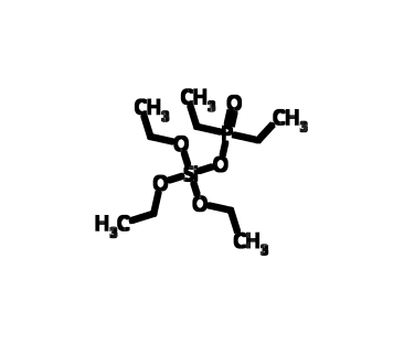 CCO[Si](OCC)(OCC)OP(=O)(CC)CC